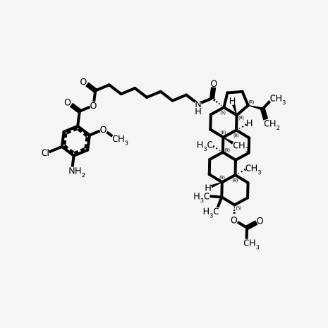 C=C(C)[C@@H]1CC[C@]2(C(=O)NCCCCCCCC(=O)OC(=O)c3cc(Cl)c(N)cc3OC)CC[C@]3(C)[C@H](CCC4[C@@]5(C)CC[C@H](OC(C)=O)C(C)(C)[C@@H]5CC[C@]43C)[C@@H]12